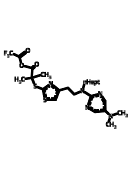 CCCCCCCN(CCc1csc(SC(C)(C)C(=O)OC(=O)C(F)(F)F)n1)c1ncc(N(C)C)cn1